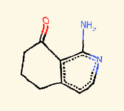 Nc1nccc2c1C(=O)CCC2